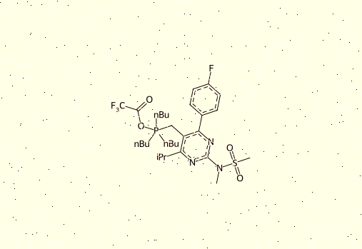 CCCCP(CCCC)(CCCC)(Cc1c(-c2ccc(F)cc2)nc(N(C)S(C)(=O)=O)nc1C(C)C)OC(=O)C(F)(F)F